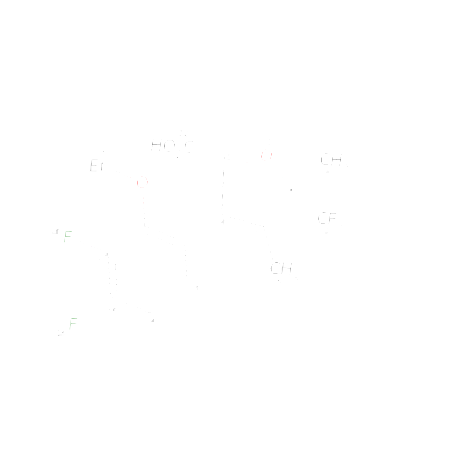 CCOc1c(C2C(C)C(C)(C(F)(F)F)O[C@H]2C(=O)O)ccc(F)c1F